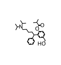 CC(C)C(=O)Oc1ccc(CO)cc1C(CCCCN(C(C)C)C(C)C)c1ccccc1